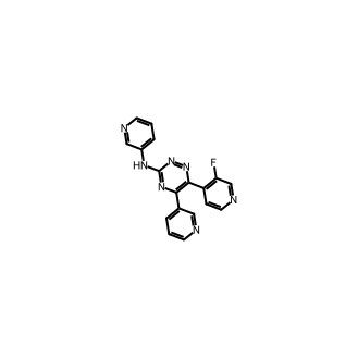 Fc1cnccc1-c1nnc(Nc2cccnc2)nc1-c1cccnc1